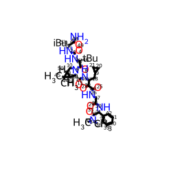 CC[C@H](C)[C@H](NC(=O)N[C@H](C(=O)N1C[C@H]2[C@@H]([C@H]1C(=O)NC(CC1CC1)C(=O)C(=O)NCC(=O)NC(C(=O)N(C)C)c1ccccc1)C2(C)C)C(C)(C)C)C(N)=O